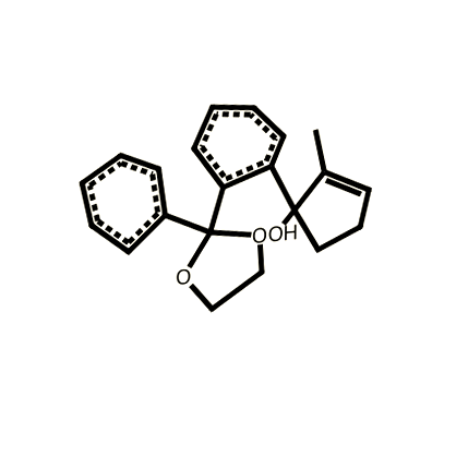 CC1=CCCC1(O)c1ccccc1C1(c2ccccc2)OCCO1